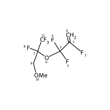 C=C(F)C(F)(F)OC(F)(COC)C(F)(F)F